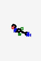 Clc1cc2c(cnn2C2CCCCO2)c(Br)c1C#Cc1cn[nH]c1